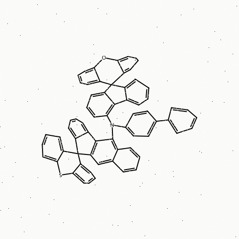 c1ccc(-c2ccc(N(c3cccc4c3-c3ccccc3C43c4ccccc4Oc4ccccc43)c3c4c(cc5ccccc35)C3(c5ccccc5Sc5ccccc53)c3ccccc3-4)cc2)cc1